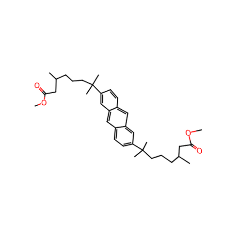 COC(=O)CC(C)CCCC(C)(C)c1ccc2cc3cc(C(C)(C)CCCC(C)CC(=O)OC)ccc3cc2c1